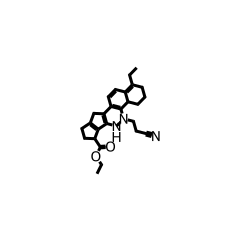 CCOC(=O)C1CCC2=C1C1=C(C2)C2=C(C3CCCC(CC)=C3C=C2)N(CCC#N)N1